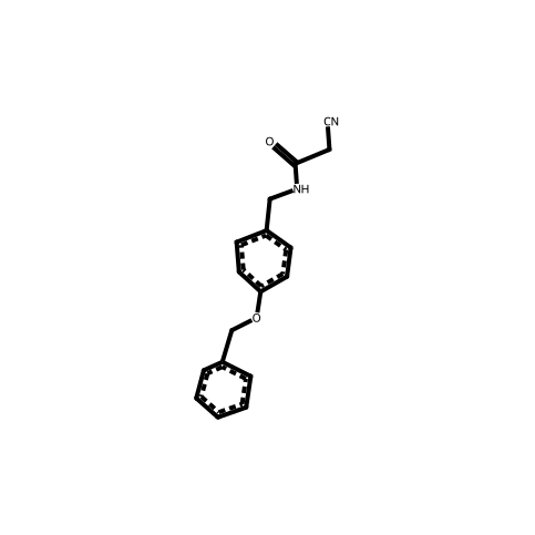 N#CCC(=O)NCc1ccc(OCc2ccccc2)cc1